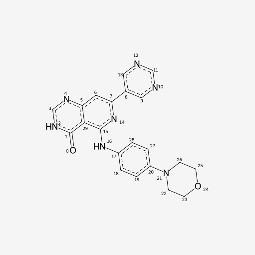 O=c1[nH]cnc2cc(-c3cncnc3)nc(Nc3ccc(N4CCOCC4)cc3)c12